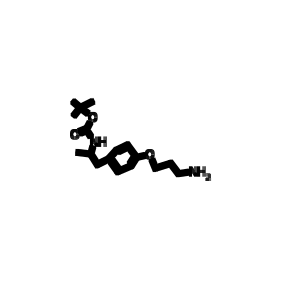 CC(Cc1ccc(OCCCN)cc1)NC(=O)OC(C)(C)C